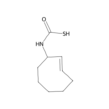 O=C(S)NC1/C=C/CCCCC1